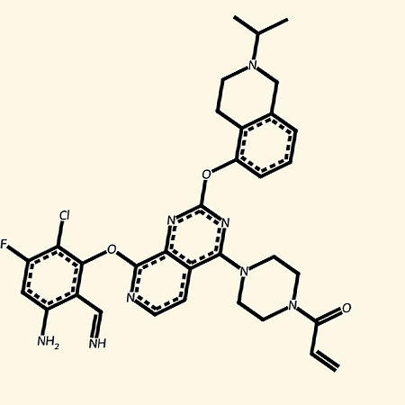 C=CC(=O)N1CCN(c2nc(Oc3cccc4c3CCN(C(C)C)C4)nc3c(Oc4c(Cl)c(F)cc(N)c4C=N)nccc23)CC1